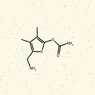 Cc1c(CN)sc(OC(N)=O)c1C